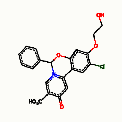 O=C(O)c1cn2c(cc1=O)-c1cc(Cl)c(OCCO)cc1OC2c1ccccc1